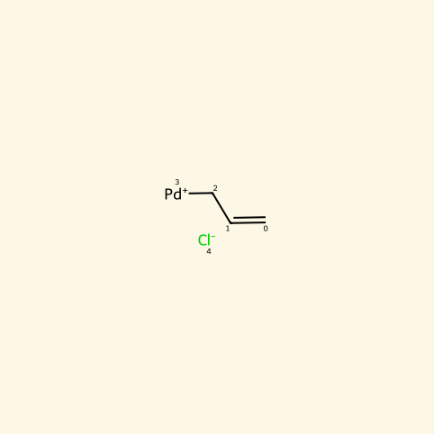 C=C[CH2][Pd+].[Cl-]